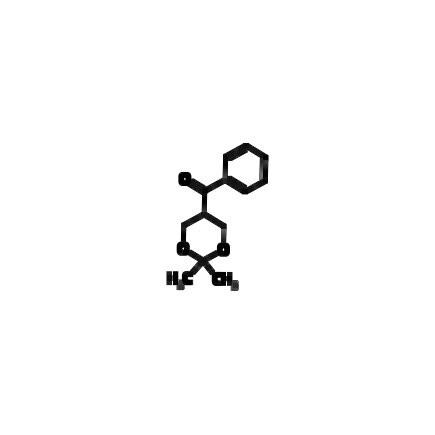 CC1(C)OCC(C(=O)c2ccccc2)CO1